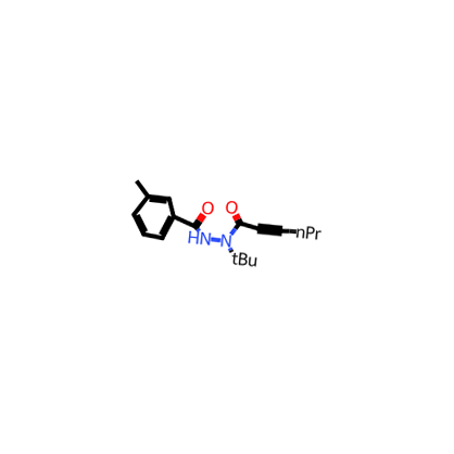 CCCC#CC(=O)N(NC(=O)c1cccc(C)c1)C(C)(C)C